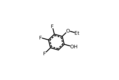 CCOc1c(O)cc(F)c(F)c1F